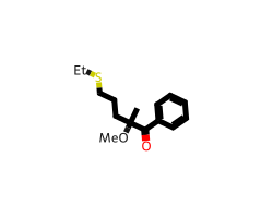 CCSCCCC(C)(OC)C(=O)c1ccccc1